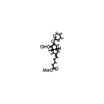 COC(=O)CCC/C=C1/C[C@H]2C[C@@H](OC3CCCCO3)[C@H](C=O)[C@H]2C1